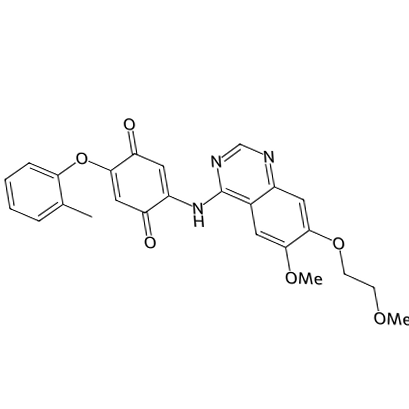 COCCOc1cc2ncnc(NC3=CC(=O)C(Oc4ccccc4C)=CC3=O)c2cc1OC